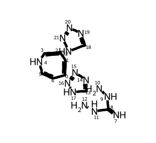 C1=CC=CNC=C1.N=C(NN)NN.c1nnn[nH]1.c1nnn[nH]1